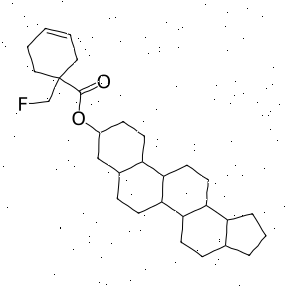 O=C(OC1CCC2C(CCC3C2CCC2C4CCCC4CCC23)C1)C1(CF)CC=CCC1